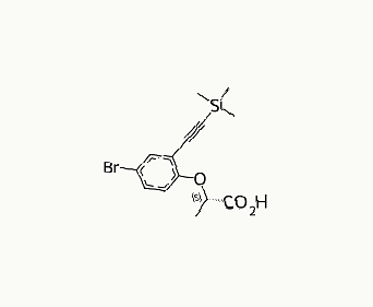 C[C@H](Oc1ccc(Br)cc1C#C[Si](C)(C)C)C(=O)O